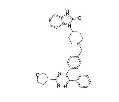 O=c1[nH]c2ccccc2n1C1CCN(Cc2ccc(-c3nc(C4CCOC4)nnc3-c3ccccc3)cc2)CC1